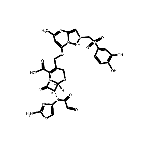 CC1=NC2=CN(CS(=O)(=O)c3ccc(O)c(O)c3)NN2C(SCC2=C(C(=O)O)N3C(=O)[C@@H](N(C(=O)C=O)c4csc(N)n4)[C@H]3SC2)=C1